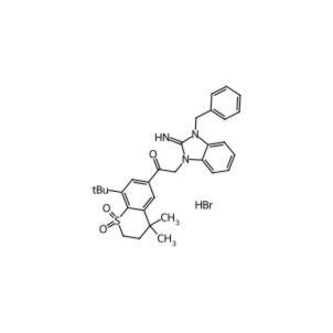 Br.CC(C)(C)c1cc(C(=O)Cn2c(=N)n(Cc3ccccc3)c3ccccc32)cc2c1S(=O)(=O)CCC2(C)C